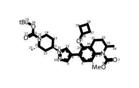 COC(=O)N1c2ccc(-c3cnn([C@@H]4CCN(C(=O)OC(C)(C)C)[C@@H](C)C4)c3)c(OC3CCC3)c2CCC1C